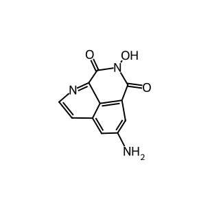 Nc1cc2c3c(nccc3c1)C(=O)N(O)C2=O